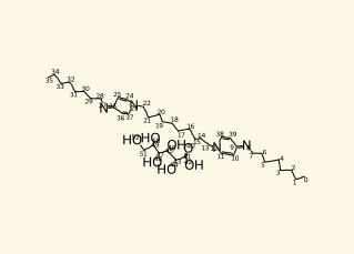 CCCCCCCCN=c1ccn(CCCCCCCCCCn2ccc(=NCCCCCCCC)cc2)cc1.O=C(O)[C@H](O)[C@@H](O)[C@H](O)[C@H](O)CO